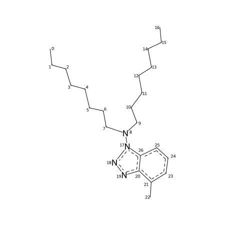 CCCCCCCCN(CCCCCCCC)n1nnc2c(C)cccc21